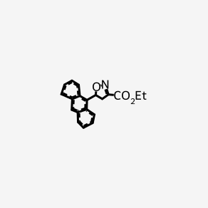 CCOC(=O)C1=NOC(c2c3ccccc3cc3ccccc23)C1